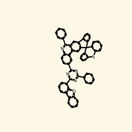 c1ccc(-c2nc(-c3ccc4nc(-c5ccccc5)c5cc6c(cc5c4c3)C3(c4ccccc4Sc4ccccc43)c3ccccc3-6)nc(-c3cccc4c3oc3ccccc34)n2)cc1